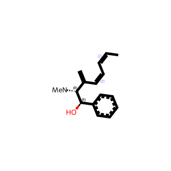 C=C(/C=C\C=C/C)[C@@H](NC)[C@H](O)c1ccccc1